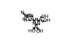 N#CNO.OCN(CO)c1nc(N(CO)CO)nc(N(CO)CO)n1